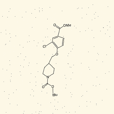 COC(=O)c1ccc(OCC2CCN(C(=O)OC(C)(C)C)CC2)c(Cl)c1